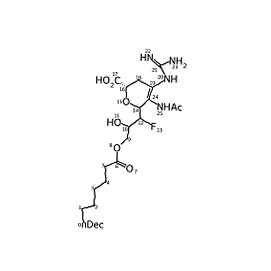 CCCCCCCCCCCCCCCC(=O)OCC(O)C(F)C1O[C@H](C(=O)O)CC(NC(=N)N)=C1NC(C)=O